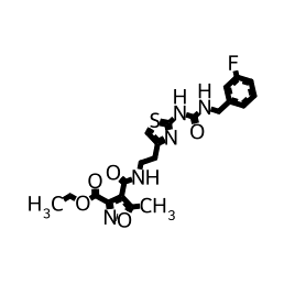 CCOC(=O)c1noc(C)c1C(=O)NCCc1csc(NC(=O)NCc2cccc(F)c2)n1